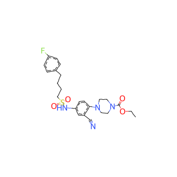 CCOC(=O)N1CCN(c2ccc(NS(=O)(=O)CCCCc3ccc(F)cc3)cc2C#N)CC1